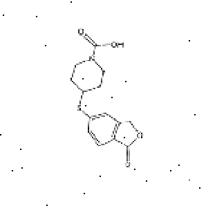 O=C1OCc2cc(SC3CCN(C(=O)O)CC3)ccc21